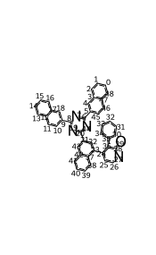 c1ccc2cc(-c3nc(-c4ccc5ccccc5c4)nc(-c4cc(-c5ccnc6oc7ccccc7c56)c5ccccc5c4)n3)ccc2c1